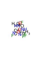 Cc1nc(F)ccc1Oc1ncc(C(F)(F)F)c(C)c1C(=O)Nc1ccc(F)c([S@@](C)(=N)=O)c1